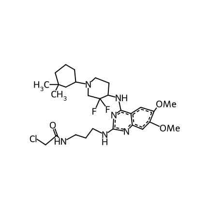 COc1cc2nc(NCCCNC(=O)CCl)nc(NC3CCN(C4CCCC(C)(C)C4)CC3(F)F)c2cc1OC